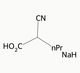 CCCC(C#N)C(=O)O.[NaH]